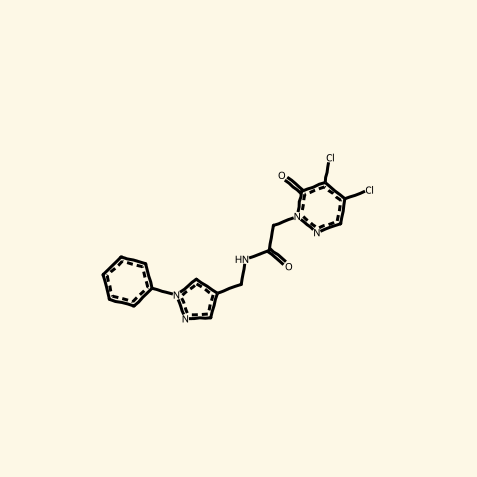 O=C(Cn1ncc(Cl)c(Cl)c1=O)NCc1cnn(-c2ccccc2)c1